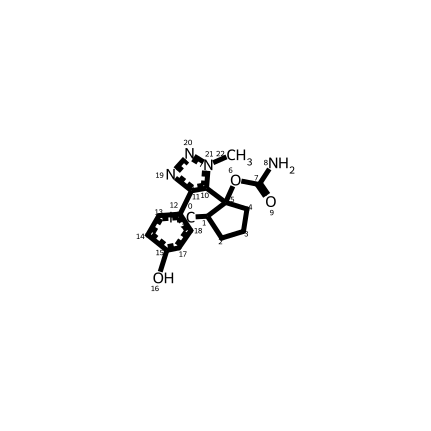 CC1CCCC1(OC(N)=O)c1c(-c2ccc(O)cc2)nnn1C